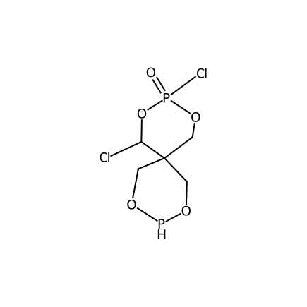 O=P1(Cl)OCC2(COPOC2)C(Cl)O1